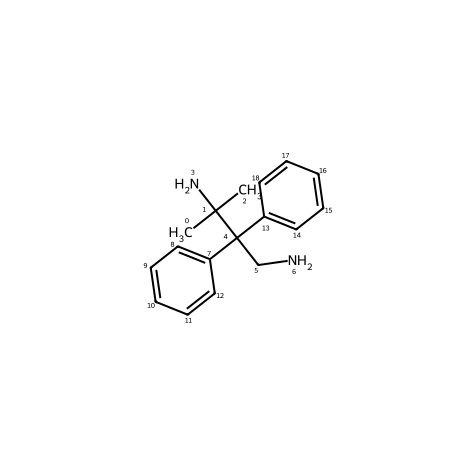 CC(C)(N)C(CN)(c1ccccc1)c1ccccc1